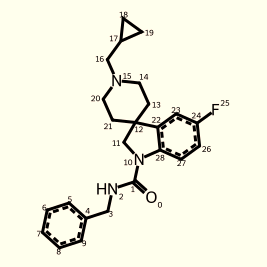 O=C(NCc1ccccc1)N1CC2(CCN(CC3CC3)CC2)c2cc(F)ccc21